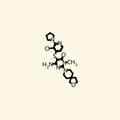 Cn1c(N2CCC3(CCOC3)CC2)nc(N)c(Sc2ccnc(N3CCCC3)c2Cl)c1=O